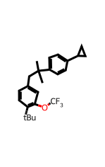 CC(C)(C)c1ccc(CC(C)(C)c2ccc(C3CC3)cc2)cc1OC(F)(F)F